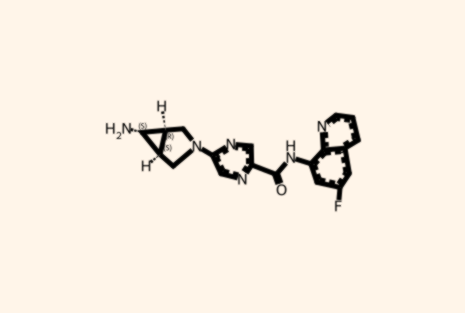 N[C@@H]1[C@H]2CN(c3cnc(C(=O)Nc4cc(F)cc5cccnc45)cn3)C[C@@H]12